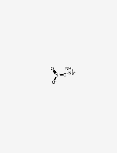 N.O=[N+]([O-])[O-].[Na+]